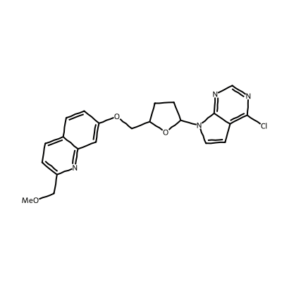 COCc1ccc2ccc(OCC3CCC(n4ccc5c(Cl)ncnc54)O3)cc2n1